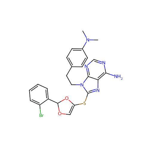 CN(C)c1ccc(CCn2c(SC3=COC(c4ccccc4Br)O3)nc3c(N)ncnc32)cc1